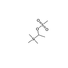 CC(OS(C)(=O)=O)[Si](C)(C)C